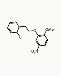 COc1ccc([N+](=O)[O-])cc1OCCN1C=CC=CC1Cl